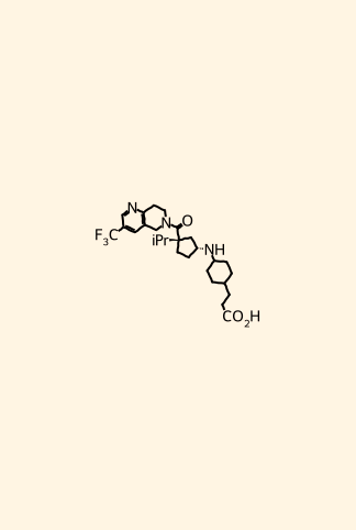 CC(C)[C@]1(C(=O)N2CCc3ncc(C(F)(F)F)cc3C2)CC[C@@H](NC2CCC(CCC(=O)O)CC2)C1